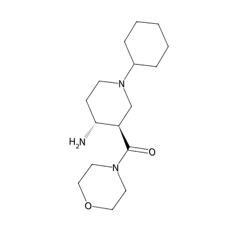 N[C@@H]1CCN(C2CCCCC2)C[C@H]1C(=O)N1CCOCC1